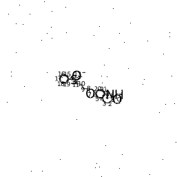 O=C1CCc2cc(OCCCC[S+]([O-])c3ccccc3)ccc2N1